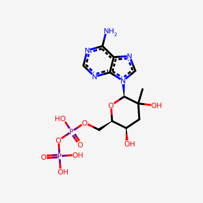 CC1(O)C[C@@H](O)[C@@H](COP(=O)(O)OP(=O)(O)O)O[C@H]1n1cnc2c(N)ncnc21